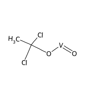 CC(Cl)(Cl)[O][V]=[O]